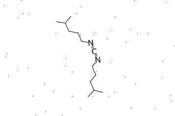 CC(C)CCCN=C=NCCCC(C)C